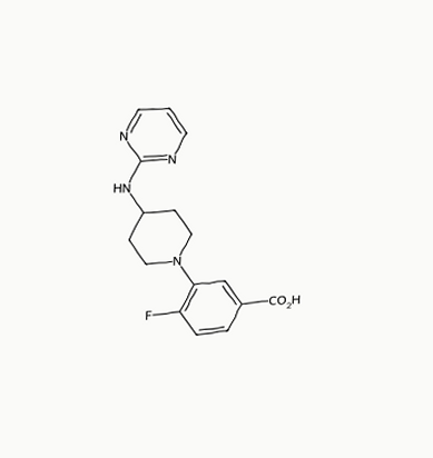 O=C(O)c1ccc(F)c(N2CCC(Nc3ncccn3)CC2)c1